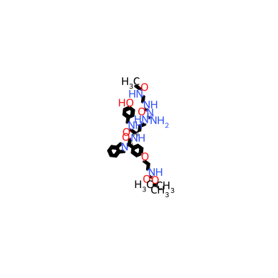 CCC(=O)NCCNC(=O)/N=C(/N)NCCC[C@@H](NC(=O)[C@@H](c1ccc(OCCCNC(=O)OC(C)(C)C)cc1)N1Cc2ccccc2C1)C(=O)NCc1ccc(O)cc1